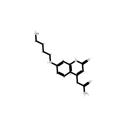 CC(=O)Cc1cc(=O)oc2cc(OCCCCO)ccc12